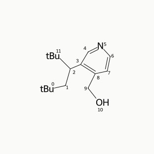 CC(C)(C)CC(c1cnccc1CO)C(C)(C)C